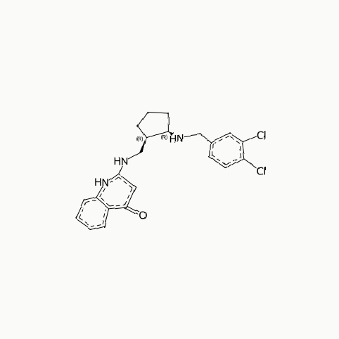 O=c1cc(NC[C@H]2CCC[C@H]2NCc2ccc(Cl)c(Cl)c2)[nH]c2ccccc12